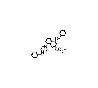 O=C(O)c1cc(OCc2ccccc2)c2cccc(N3CCN(Cc4ccccc4)CC3)c2n1